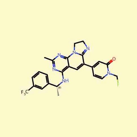 Cc1nc(N[C@H](C)c2cccc(C(F)(F)F)c2)c2c(n1)N1CCN=C1C(c1ccn(CF)c(=O)c1)=C2